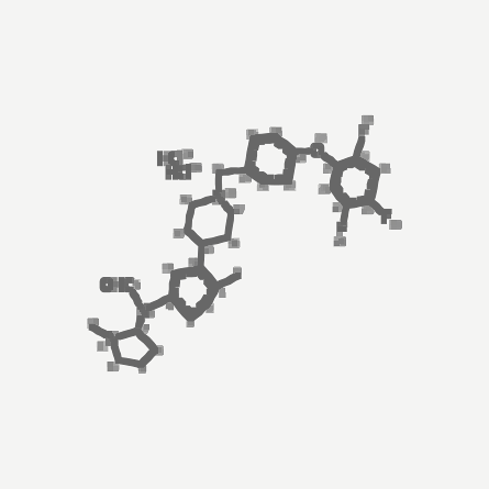 Cc1ccc(N(C=O)[C@H]2CCCN2C)cc1C1CCN(Cc2ccc(Oc3cc(F)c(F)cc3F)cc2)CC1.Cl.Cl